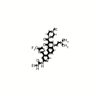 CCNC(=O)Nc1cc(-c2nc(C(F)(F)F)cs2)c(-c2ccc3c(c2)c(=O)c(C(=O)N2CCN(C(C)=O)CC2)cn3CCN(C)C)cn1